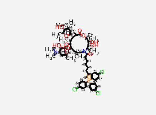 CC[C@H]1OC(=O)[C@H](C)C([C@H]2C[C@@](C)(OC)[C@@H](O)[C@H](C)O2)[C@H](C)[C@@H](O[C@@H]2O[C@H](C)C[C@H](N(C)C)[C@H]2O)[C@](C)(O)C[C@@H](C)CN(C(=O)CCCCCCC[PH](c2ccc(Cl)cc2)(c2ccc(Cl)cc2)c2ccc(Cl)cc2)[C@H](C)[C@@H](O)[C@]1(C)O